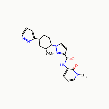 COC1CC(c2cccnn2)CCC1n1ccc(C(=O)Nc2cccn(C)c2=O)n1